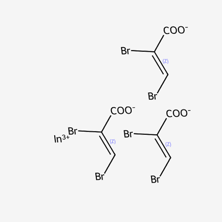 O=C([O-])/C(Br)=C/Br.O=C([O-])/C(Br)=C/Br.O=C([O-])/C(Br)=C/Br.[In+3]